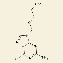 CC(=O)OCCOCn1cnc2c(Cl)nc(N)nc21